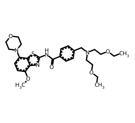 CCOCCN(CCOCC)Cc1ccc(C(=O)Nc2nc3c(OC)ccc(N4CCOCC4)c3s2)cc1